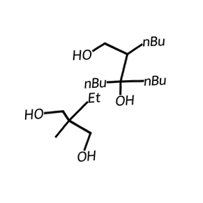 CCC(C)(CO)CO.CCCCC(CO)C(O)(CCCC)CCCC